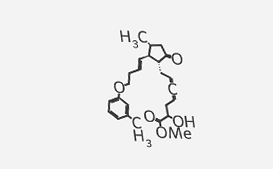 COC(=O)C(O)CC=C=CC[C@H]1C(=O)C[C@@H](C)[C@@H]1/C=C/CCOc1cccc(C)c1